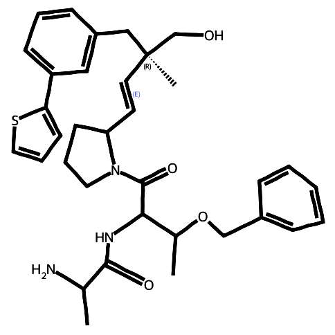 CC(N)C(=O)NC(C(=O)N1CCCC1/C=C/[C@](C)(CO)Cc1cccc(-c2cccs2)c1)C(C)OCc1ccccc1